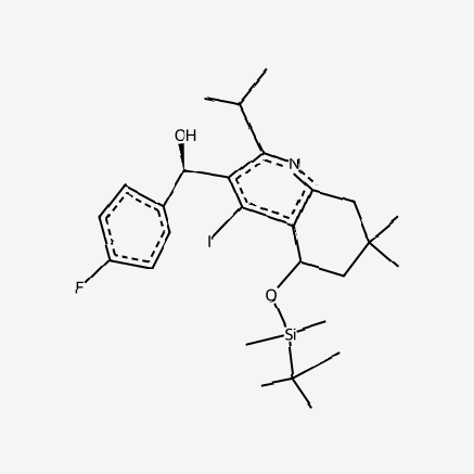 CC(C)c1nc2c(c(I)c1[C@H](O)c1ccc(F)cc1)C(O[Si](C)(C)C(C)(C)C)CC(C)(C)C2